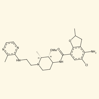 CO[C@@H]1C(NC(=O)c2cc(Cl)c(N)c3c2OC(C)C3)CCN(CCNc2nccnc2C)[C@@H]1C